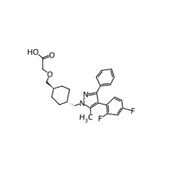 Cc1c(-c2ccc(F)cc2F)c(-c2ccccc2)nn1C[C@H]1CC[C@H](COCC(=O)O)CC1